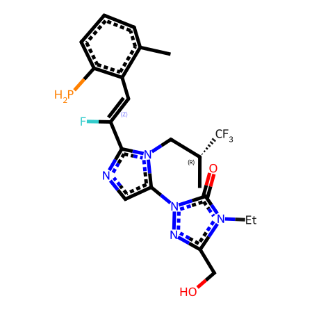 CCn1c(CO)nn(-c2cnc(/C(F)=C/c3c(C)cccc3P)n2C[C@@H](C)C(F)(F)F)c1=O